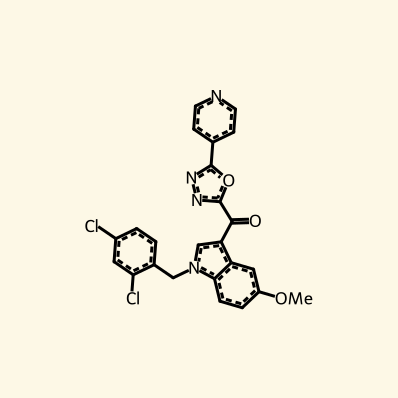 COc1ccc2c(c1)c(C(=O)c1nnc(-c3ccncc3)o1)cn2Cc1ccc(Cl)cc1Cl